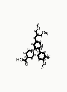 COCC(COC)Cc1cnc(-c2ccc(OC)c(F)c2)c(N2CCC(C(=O)O)CC2)c1